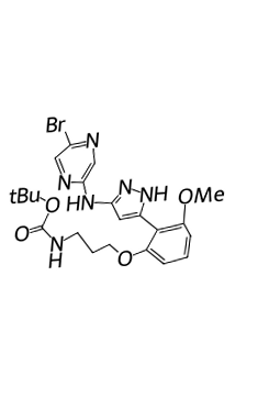 COc1cccc(OCCCNC(=O)OC(C)(C)C)c1-c1cc(Nc2cnc(Br)cn2)n[nH]1